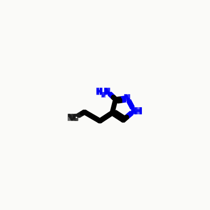 N#CCCc1c[nH]nc1N